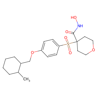 CC1CCCCC1COc1ccc(S(=O)(=O)C2(C(=O)NO)CCOCC2)cc1